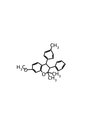 COc1ccc2c(c1)OC(C)(C)C(c1ccccc1)C2c1ccc(C)cc1